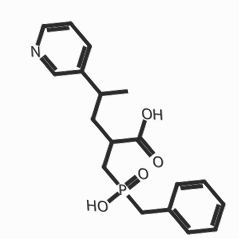 CC(CC(CP(=O)(O)Cc1ccccc1)C(=O)O)c1cccnc1